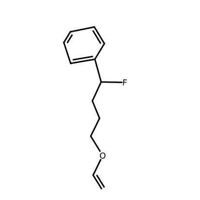 C=COCCCC(F)c1ccccc1